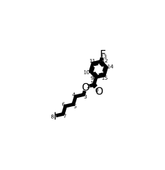 O=C(OCCCCCI)c1ccc(F)cc1